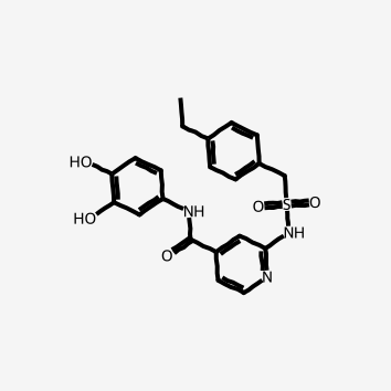 CCc1ccc(CS(=O)(=O)Nc2cc(C(=O)Nc3ccc(O)c(O)c3)ccn2)cc1